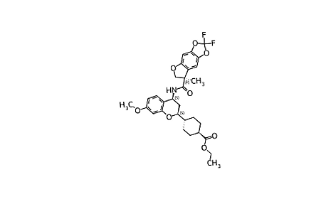 CCOC(=O)[C@H]1CC[C@H]([C@@H]2C[C@H](NC(=O)[C@@]3(C)COc4cc5c(cc43)OC(F)(F)O5)c3ccc(OC)cc3O2)CC1